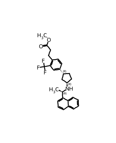 COC(=O)CCc1ccc([C@@H]2CC[C@@H](N[C@H](C)c3cccc4ccccc34)C2)cc1C(F)(F)F